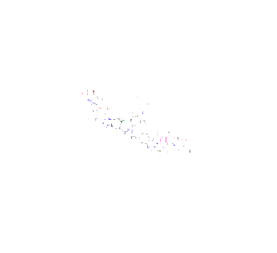 COC(=O)N[C@H](C(=O)N1CCC[C@H]1c1nc2cc([C@H]3CC[C@@H](c4ccc5[nH]c([C@@H]6CCCN6C(=O)[C@@H](NC(=O)O)C(C)C)nc5c4)N3c3cc(F)c(N4CCCCC4)cc3F)ccc2[nH]1)C(C)C